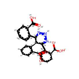 O=C(O)c1ccccc1-c1nnnc(-c2ccccc2C(=O)O)c1-c1ccccc1C(=O)O